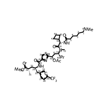 CNCCCCCC(=O)N[C@H](C(=O)N(C)[C@H](C[C@@H](OC(C)=O)c1nc(C(=O)N[C@@H](Cc2ccc(C(F)(F)F)cc2)C[C@H](C)C(=O)OC)cs1)C(C)C)C1CCC1